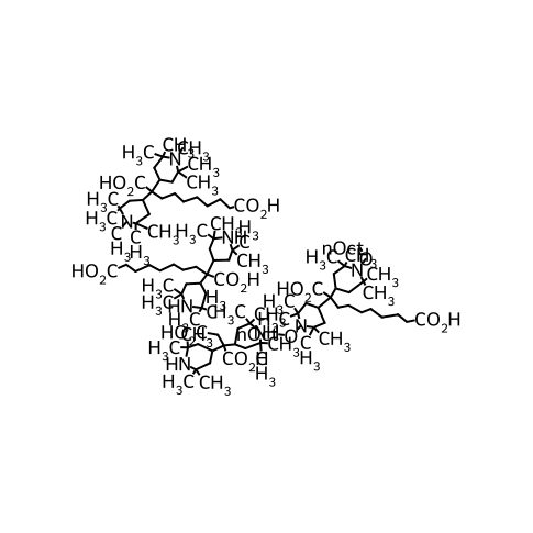 CC1(C)CC(C(CC(=O)O)(C(=O)O)C2CC(C)(C)NC(C)(C)C2)CC(C)(C)N1.CC1(C)CC(C(CCCCCCCC(=O)O)(C(=O)O)C2CC(C)(C)NC(C)(C)C2)CC(C)(C)N1.CCCCCCCCON1C(C)(C)CC(C(CCCCCCCC(=O)O)(C(=O)O)C2CC(C)(C)N(OCCCCCCCC)C(C)(C)C2)CC1(C)C.CN1C(C)(C)CC(C(CCCCCCCC(=O)O)(C(=O)O)C2CC(C)(C)N(C)C(C)(C)C2)CC1(C)C